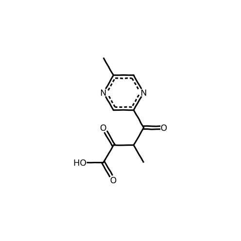 Cc1cnc(C(=O)C(C)C(=O)C(=O)O)cn1